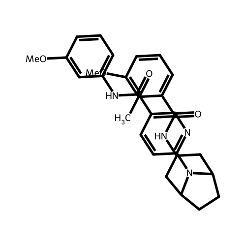 COc1cccc(NC(=O)c2ccc(N3C4CCC3CC(NC(=O)c3cccc(OC)c3C)C4)nc2)c1